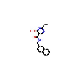 CCc1ncc(C(=O)NCc2ccc3ccccc3c2)c(O)n1